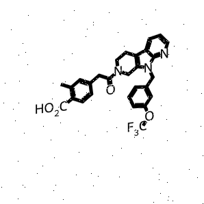 Cc1cc(CC(=O)N2CCc3c(n(Cc4cccc(OC(F)(F)F)c4)c4ncccc34)C2)ccc1C(=O)O